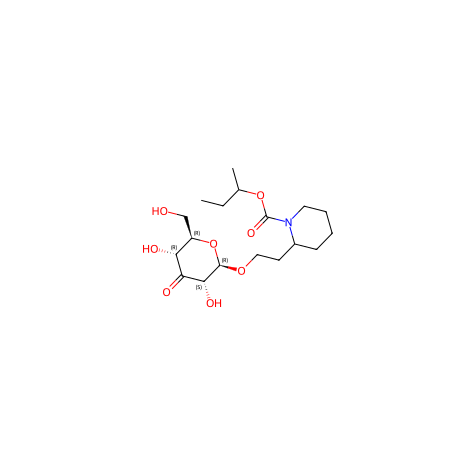 CCC(C)OC(=O)N1CCCCC1CCO[C@@H]1O[C@H](CO)[C@@H](O)C(=O)[C@H]1O